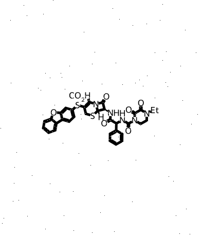 CCN1CCN(C(=O)NC(C(=O)N[C@@H]2C(=O)N3C(C(=O)O)=C(Sc4ccc5c(c4)oc4ccccc45)CS[C@@H]23)c2ccccc2)C(=O)C1=O